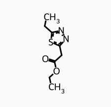 CCOC(=O)Cc1nnc(CC)s1